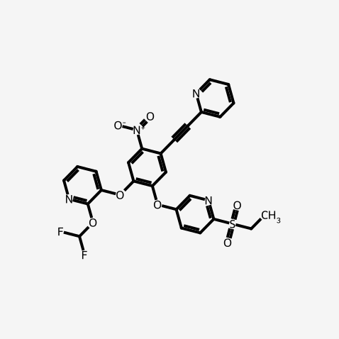 CCS(=O)(=O)c1ccc(Oc2cc(C#Cc3ccccn3)c([N+](=O)[O-])cc2Oc2cccnc2OC(F)F)cn1